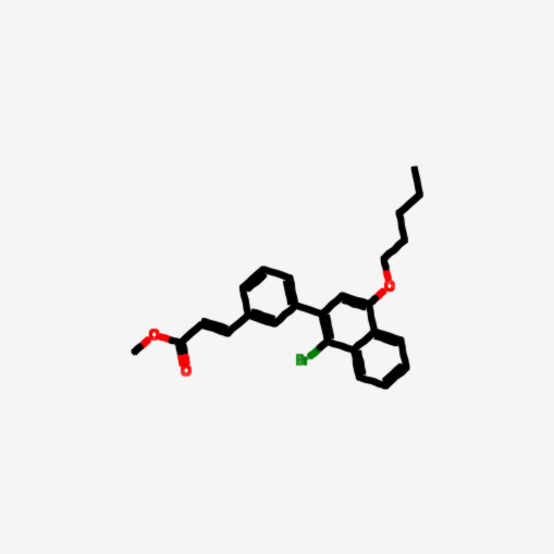 CCCCCOc1cc(-c2cccc(C=CC(=O)OC)c2)c(Br)c2ccccc12